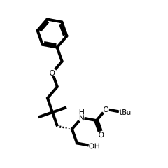 CC(C)(CCOCc1ccccc1)C[C@@H](CO)NC(=O)OC(C)(C)C